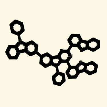 c1ccc(-n2c3ccccc3c3cc(-c4ccc5c(c4)c4nc(-c6cccc7c6oc6ccccc67)nc(-c6cccc7c6oc6ccccc67)c4n5-c4ccccc4)ccc32)cc1